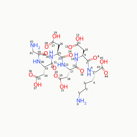 NCCCC[C@H](NC(=O)[C@H](CC(=O)O)NC(=O)[C@H](CC(=O)O)NC(=O)[C@H](CC(=O)O)NC(=O)[C@H](CC(=O)O)NC(=O)CN)C(=O)O